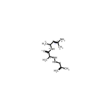 C=C(C)CNNC(C)C(=O)NC(C)/C=C(\C)N